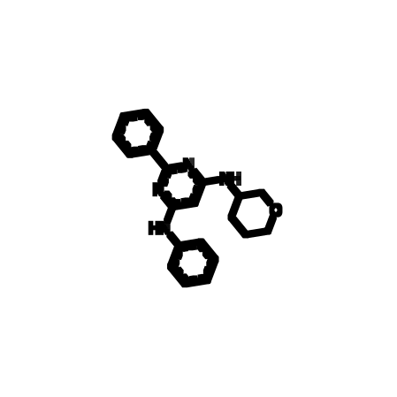 c1ccc(Nc2cc(NC3CCCOC3)nc(-c3ccccc3)n2)cc1